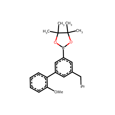 COc1ccccc1-c1cc(CC(C)C)cc(B2OC(C)(C)C(C)(C)O2)c1